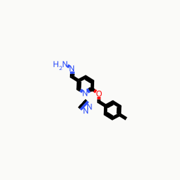 C#N.C#N.Cc1ccc(COc2ccc(C=NN)cn2)cc1